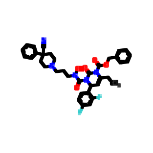 CCC1=CC(c2ccc(F)cc2F)N(C(=O)N(O)CCCN2CCC(C#N)(c3ccccc3)CC2)C(=O)N1C(=O)OCc1ccccc1